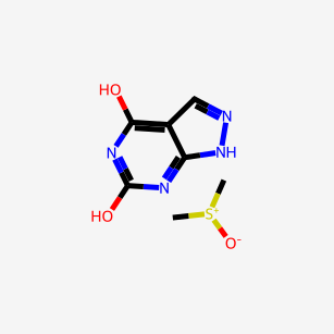 C[S+](C)[O-].Oc1nc(O)c2cn[nH]c2n1